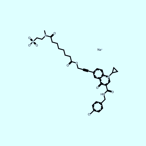 CN(CCS(=O)(=O)[O-])C(=O)CCCCCCC(=O)OCC#Cc1ccc2c(c1)c(=O)c(C(=O)NCc1ccc(Cl)cc1)cn2C1CC1.[Na+]